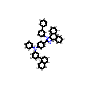 c1ccc(-c2cccc(-n3c(-c4ccc(N(c5ccccc5)c5cccc(-c6cccc7ccccc67)c5)cc4)nc4c5ccccc5c5ccccc5c43)c2)cc1